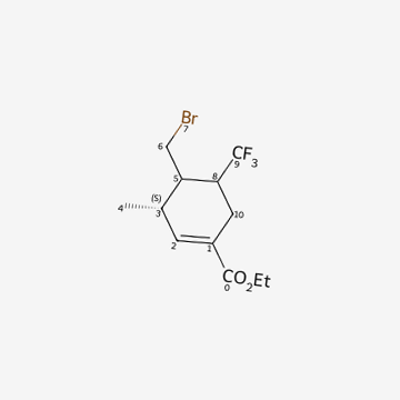 CCOC(=O)C1=C[C@H](C)C(CBr)C(C(F)(F)F)C1